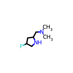 CN(C)CC1CC(F)CN1